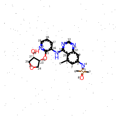 Cc1cc(N=S(C)(C)=O)cc2ncnc(Nc3cccnc3O[C@H]3COC[C@@H]3O)c12